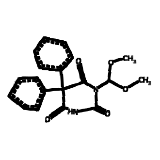 COC(OC)N1C(=O)NC(=O)C(c2ccccc2)(c2ccccc2)C1=O